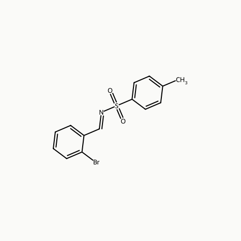 Cc1ccc(S(=O)(=O)N=Cc2ccccc2Br)cc1